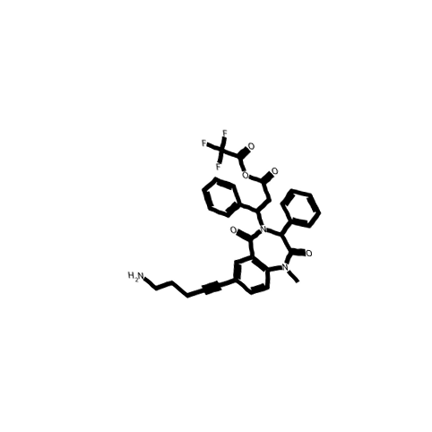 CN1C(=O)C(c2ccccc2)N(C(CC(=O)OC(=O)C(F)(F)F)c2ccccc2)C(=O)c2cc(C#CCCCN)ccc21